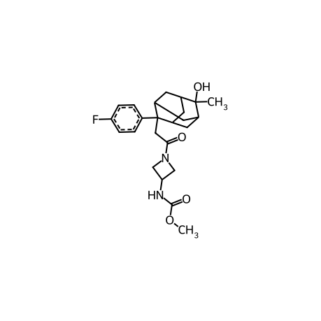 COC(=O)NC1CN(C(=O)CC2(c3ccc(F)cc3)C3CC4CC2CC(C3)C4(C)O)C1